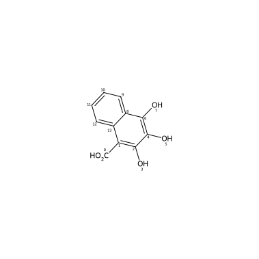 O=C(O)c1c(O)c(O)c(O)c2ccccc12